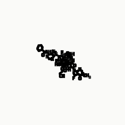 CC(C)[Si](O)(O[Si](O[C@H]1[C@H]2OP(=O)(OCCC#N)OCC3O[C@@H](n4cnc5c(NC(=O)c6ccccc6)ncnc54)[C@H](F)[C@@H]3OP(=O)(S)OC[C@@H]1O[C@H]2n1cc(F)c2c(=O)n(C)cnc21)(C(C)C)C(C)C)C(C)C